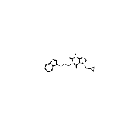 Cn1c(=O)n(CCCc2c[nH]c3ccccc23)c(=O)c2c1ncn2CC1CC1